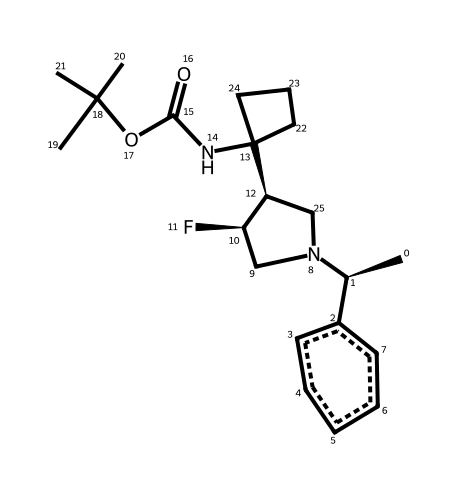 C[C@@H](c1ccccc1)N1C[C@@H](F)[C@@H](C2(NC(=O)OC(C)(C)C)CCC2)C1